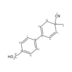 CC1(C#N)C=CC(c2ccc(C(=O)O)cc2)=CC1